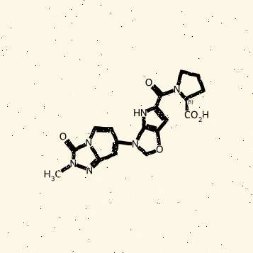 Cn1nc2cc(N3COc4cc(C(=O)N5CCC[C@H]5C(=O)O)[nH]c43)ccn2c1=O